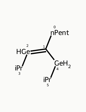 CCCCC[C](=[GeH][CH](C)C)[GeH2][CH](C)C